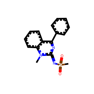 Cn1/c(=N/S(C)(=O)=O)nc(-c2ccccc2)c2ccccc21